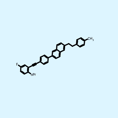 CCCc1ccc(F)cc1C#Cc1ccc(-c2ccc3cc(CCc4ccc(C)cc4)ccc3c2)cc1